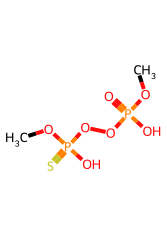 COP(=O)(O)OOP(O)(=S)OC